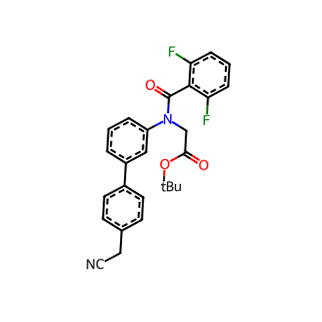 CC(C)(C)OC(=O)CN(C(=O)c1c(F)cccc1F)c1cccc(-c2ccc(CC#N)cc2)c1